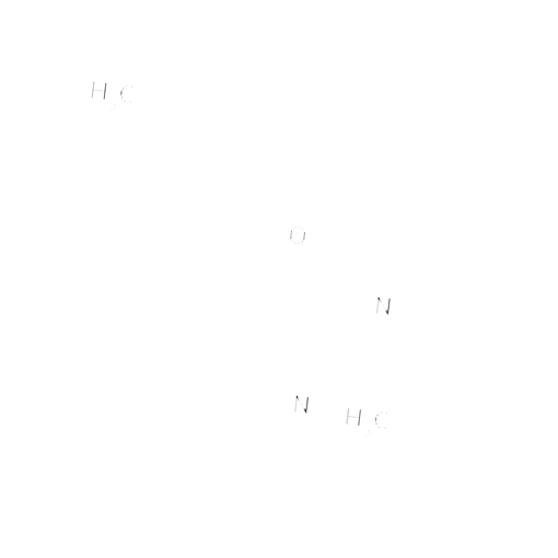 Cc1ccc(-c2cccnc2C(=O)N2CCCC2C)cc1